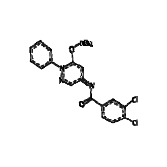 CCCCOc1cc(=NC(=O)c2ccc(Cl)c(Cl)c2)cnn1-c1ccccc1